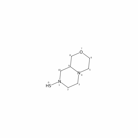 SN1CCN2CCOCC2C1